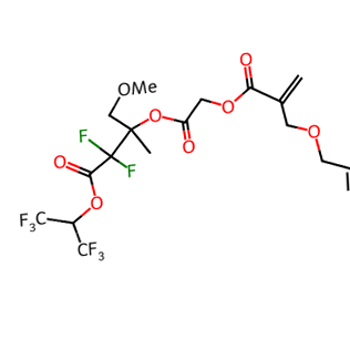 C=CCOCC(=C)C(=O)OCC(=O)OC(C)(COC)C(F)(F)C(=O)OC(C(F)(F)F)C(F)(F)F